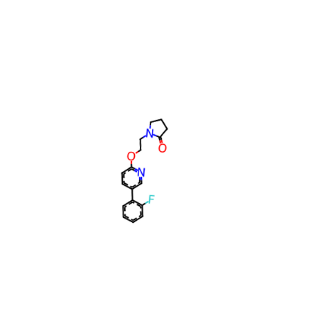 O=C1CCCN1CCOc1ccc(-c2ccccc2F)cn1